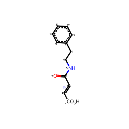 O=C(O)/C=C/C(=O)NCCc1ccccc1